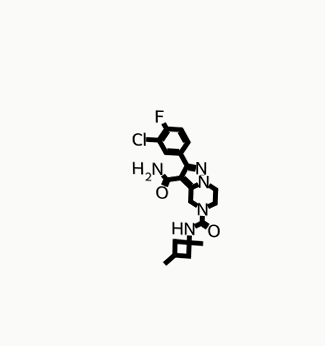 CC1CC(C)(NC(=O)N2CCn3nc(-c4ccc(F)c(Cl)c4)c(C(N)=O)c3C2)C1